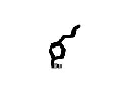 [CH2]C=CCc1ccc(CCCC)cc1